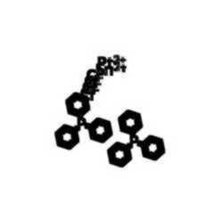 [Cl-].[Cl-].[Cl-].[Cl-].[Pt+2].[Sn+2].c1ccc(P(c2ccccc2)c2ccccc2)cc1.c1ccc(P(c2ccccc2)c2ccccc2)cc1